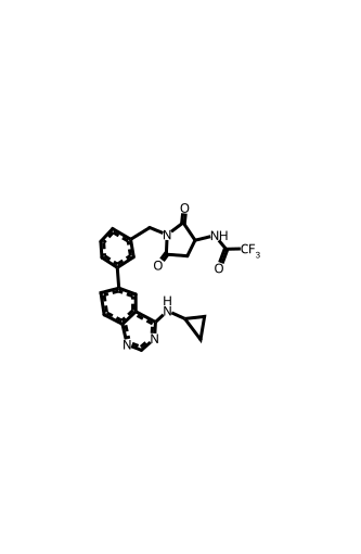 O=C1CC(NC(=O)C(F)(F)F)C(=O)N1Cc1cccc(-c2ccc3ncnc(NC4CC4)c3c2)c1